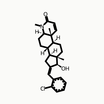 CN1C(=O)C=C[C@]2(C)[C@H]3CC[C@]4(C)[C@@H](O)/C(=C\c5ccccc5Cl)C[C@H]4[C@@H]3CC[C@@H]12